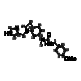 COc1ccc(CNC(=O)N(C)c2ccc3c(c2)N(Cc2c[nH]cn2)CC3)cc1